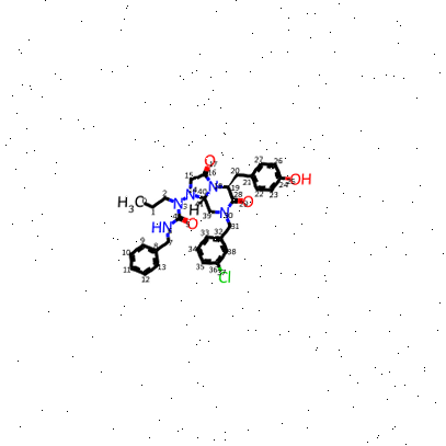 CCCN(C(=O)NCc1ccccc1)N1CC(=O)N2[C@@H](Cc3ccc(O)cc3)C(=O)N(Cc3cccc(Cl)c3)C[C@@H]21